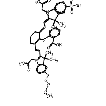 COOOSc1ccc2c(c1)C(C)(C)C(/C=C/C1=C(Sc3ccccc3C(=O)O)C(=C/C=C3/N(CC(=O)O)c4ccc(S(=O)(=O)O)cc4C3(C)C)/CCC1)=[N+]2CC(=O)O